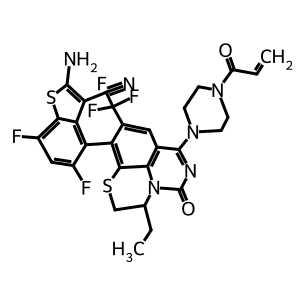 C=CC(=O)N1CCN(c2nc(=O)n3c4c(c(-c5c(F)cc(F)c6sc(N)c(C#N)c56)c(C(F)(F)F)cc24)SCC3CC)CC1